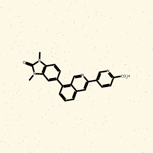 Cn1c(=O)n(C)c2cc(-c3cccc4cc(-c5ccc(C(=O)O)nc5)ncc34)ccc21